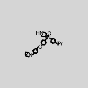 CC(C)c1ccc(N2C(=O)C3(CCNCC3)C2c2ccc(OCc3ccc(C[N+]45CCC(CC4)CC5)cc3)cc2)cc1